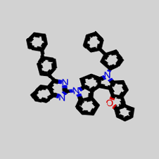 c1ccc(-c2ccc(-c3nc(-n4c5ccccc5c5c6c7c8oc9ccccc9c8ccc7n(-c7cccc(-c8ccccc8)c7)c6ccc54)nc4ccccc34)cc2)cc1